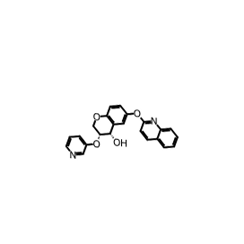 O[C@H]1c2cc(Oc3ccc4ccccc4n3)ccc2OC[C@H]1Oc1cccnc1